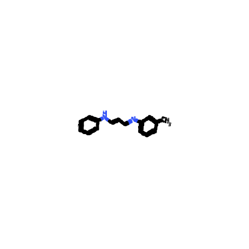 Cc1cccc(/N=C/C=C/Nc2ccccc2)c1